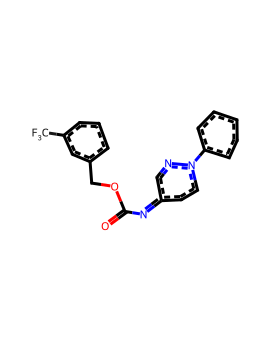 O=C(N=c1ccn(-c2ccccc2)nc1)OCc1cccc(C(F)(F)F)c1